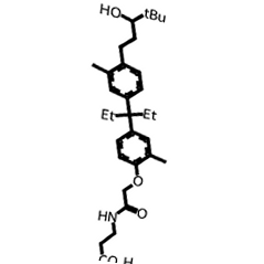 CCC(CC)(c1ccc(CCC(O)C(C)(C)C)c(C)c1)c1ccc(OCC(=O)NCCC(=O)O)c(C)c1